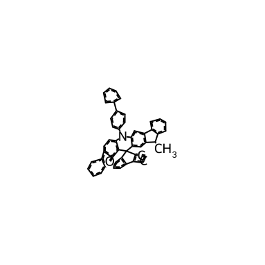 CC1c2ccccc2-c2cc3c(cc21)C1(c2ccccc2-c2ccccc21)c1c(ccc2c1oc1ccccc12)N3c1ccc(-c2ccccc2)cc1